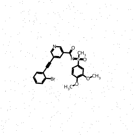 COc1ccc(S(C)(=O)=NC(=O)c2cncc(C#Cc3ccccc3Br)c2)cc1OC